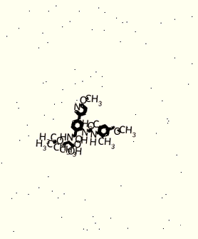 COCc1cc(C)c(NC(=O)Nc2cc(-c3ccc(OC)nc3)ccc2C(=O)NC(C(=O)O)C(C)OC(C)(C)C)c(C)c1